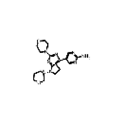 Nc1ncc(-c2nc(N3CCOCC3)nc3c2CCN3[C@H]2CCCOC2)cn1